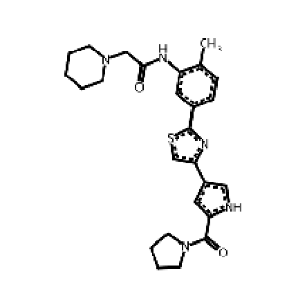 Cc1ccc(-c2nc(-c3c[nH]c(C(=O)N4CCCC4)c3)cs2)cc1NC(=O)CN1CCCCC1